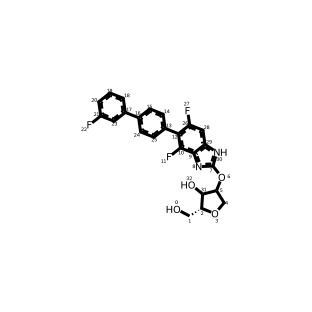 OC[C@H]1OCC(Oc2nc3c(F)c(-c4ccc(-c5cccc(F)c5)cc4)c(F)cc3[nH]2)C1O